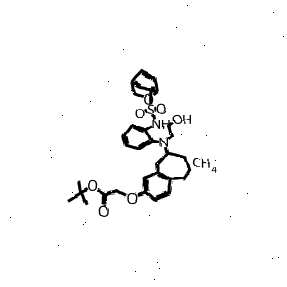 C.CC(C)(C)OC(=O)COc1ccc2c(c1)CC(N(CCO)c1ccccc1NS(=O)(=O)c1cc3ccc1OC3)CCC2